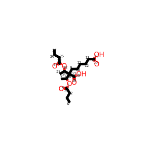 CCCC(=O)OC(C)C(CCCCCC(=O)O)(C(=O)O)C(C)OC(=O)CCC